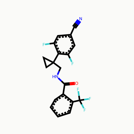 N#Cc1cc(F)c(C2(CNC(=O)c3ccccc3C(F)(F)F)CC2)c(F)c1